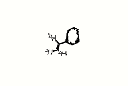 [2H]C([2H])=C([2H])c1ccccc1